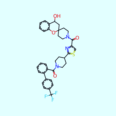 O=C(c1csc(C2CCN(C(=O)c3ccccc3-c3ccc(C(F)(F)F)cc3)CC2)n1)N1CCC2(CC1)CC(O)c1ccccc1O2